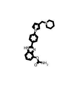 NC(=O)Oc1cccc2[nH]c(-c3ccc(-n4ccc(CN5CCCCC5)c4)cc3)nc12